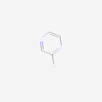 O=[N+]([O-])c1[c]nccn1